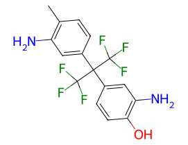 Cc1ccc(C(c2ccc(O)c(N)c2)(C(F)(F)F)C(F)(F)F)cc1N